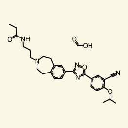 CCC(=O)NCCCN1CCc2ccc(-c3noc(-c4ccc(OC(C)C)c(C#N)c4)n3)cc2CC1.O=CO